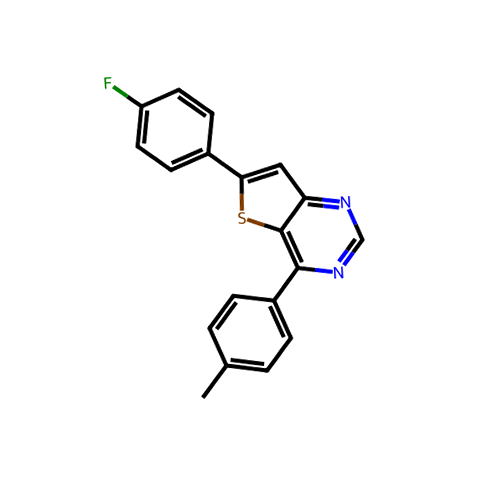 Cc1ccc(-c2ncnc3cc(-c4ccc(F)cc4)sc23)cc1